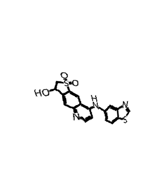 O=S1(=O)CC(O)c2cc3nccc(Nc4ccc5scnc5c4)c3cc21